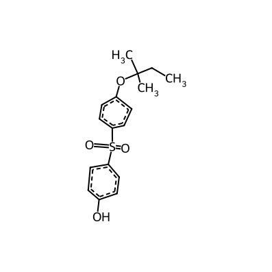 CCC(C)(C)Oc1ccc(S(=O)(=O)c2ccc(O)cc2)cc1